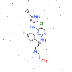 CN(CCO)CC[C@H](Nc1ncc(Cl)c(Nc2cc(C3CC3)[nH]n2)n1)c1ccc(F)cc1